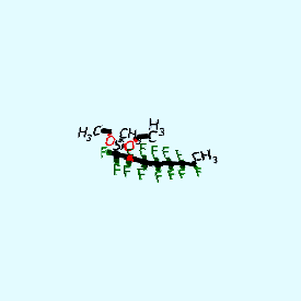 CCO[Si](C)(OCC)C(F)(F)C(F)(F)C(F)(F)C(F)(F)C(F)(F)C(F)(F)C(C)F